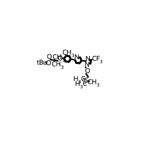 Cc1cc(-c2ccc(-c3nc(C(F)(F)F)cn3COCCS(C)(C)C)cn2)ccc1OCC(C)(C)C(=O)OC(C)(C)C